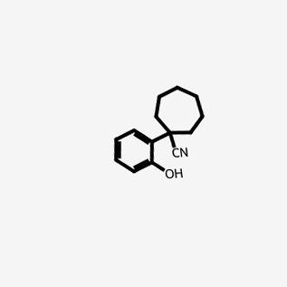 N#CC1(c2ccccc2O)CCCCCC1